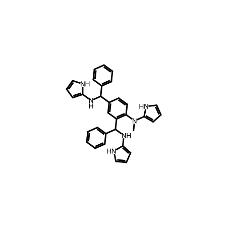 CN(c1ccc[nH]1)c1ccc(C(Nc2ccc[nH]2)c2ccccc2)cc1C(Nc1ccc[nH]1)c1ccccc1